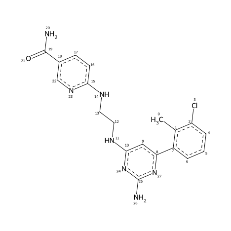 Cc1c(Cl)cccc1-c1cc(NCCNc2ccc(C(N)=O)cn2)nc(N)n1